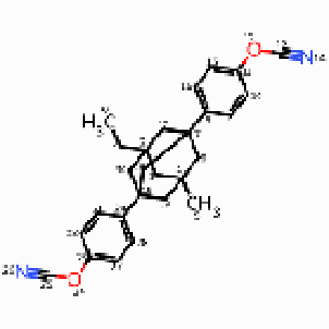 CCC12CC3(C)CC(c4ccc(OC#N)cc4)(C1)CC(c1ccc(OC#N)cc1)(C3)C2